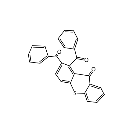 O=C(c1ccccc1)c1ccc2sc3ccccc3c(=O)c2c1C(=O)c1ccccc1